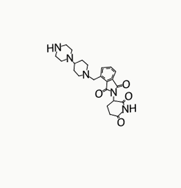 O=C1CCC(N2C(=O)c3cccc(CN4CCC(N5CCNCC5)CC4)c3C2=O)C(=O)N1